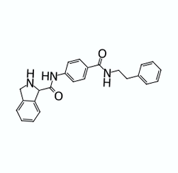 O=C(NCCc1ccccc1)c1ccc(NC(=O)C2NCc3ccccc32)cc1